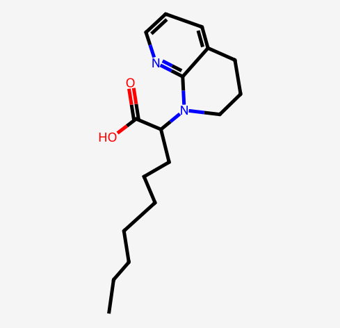 CCCCCCCC(C(=O)O)N1CCCc2cccnc21